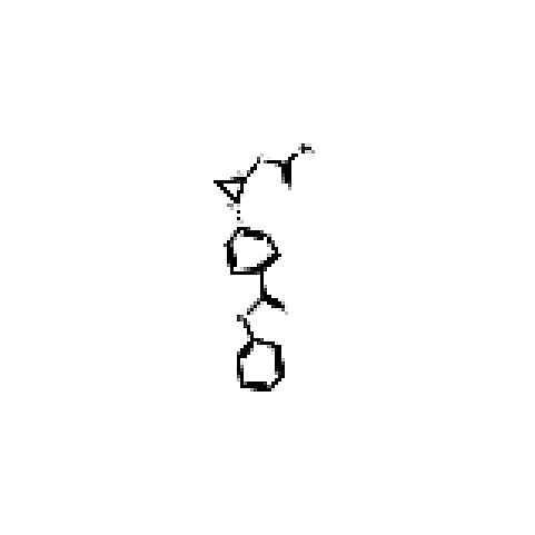 NC(=O)O[C@@H]1C[C@H]1c1ccc(C(=O)Nc2ccccc2)cc1